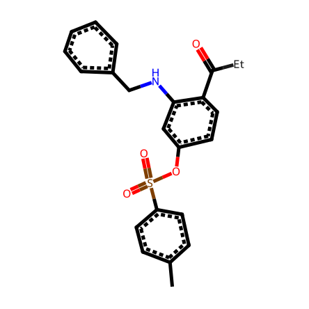 CCC(=O)c1ccc(OS(=O)(=O)c2ccc(C)cc2)cc1NCc1ccccc1